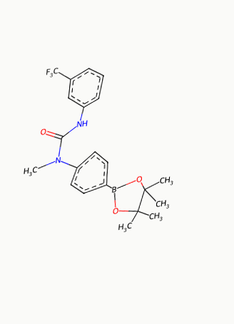 CN(C(=O)Nc1cccc(C(F)(F)F)c1)c1ccc(B2OC(C)(C)C(C)(C)O2)cc1